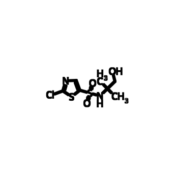 CC(C)(CO)NS(=O)(=O)c1cnc(Cl)s1